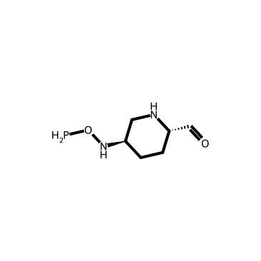 O=C[C@@H]1CC[C@@H](NOP)CN1